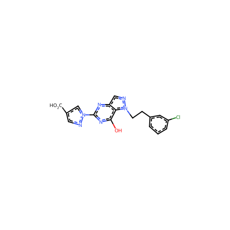 O=C(O)c1cnn(-c2nc(O)c3c(cnn3CCc3cccc(Cl)c3)n2)c1